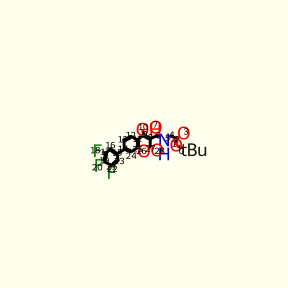 CC(C)(C)OC(=O)CNC(=O)c1c(O)c2ccc(-c3cc(F)c(F)c(F)c3)cc2oc1=O